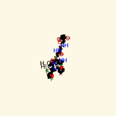 CC(C)(C)[C@H](c1cc(-c2cc(F)ccc2F)cn1Cc1ccccc1)N(C[C@@H]1CNC[C@@H]1F)C(=O)CSCCC(=O)NCCNC(=O)CC1C(=O)C=CC1=O